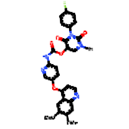 COc1cc2nccc(Oc3ccc(NC(=O)Oc4cn(C(C)C)c(=O)n(-c5ccc(F)cc5)c4=O)nc3)c2cc1OC